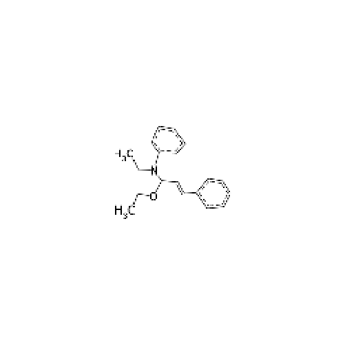 CCOC(C=Cc1ccccc1)N(CC)c1ccccc1